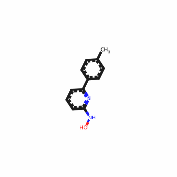 Cc1ccc(-c2cccc(NO)n2)cc1